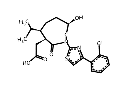 CC(C)[C@H]1CC[C@@H](O)CN(c2nc(-c3ccccc3Cl)cs2)C(=O)[C@H]1CC(=O)O